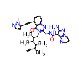 B/C(C#C)=C(B)/C(B)=C(/B)Cn1c([C@@H](C)NC(=O)c2c(N)nn3cccnc23)nc2cccc(C#Cc3ccnn3C)c2c1=O